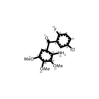 COc1cc(C(=O)c2cc(Cl)ccc2F)c(N)c(OC)c1OC